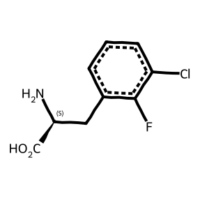 N[C@@H](Cc1cccc(Cl)c1F)C(=O)O